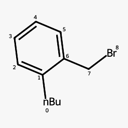 CCCCc1ccccc1CBr